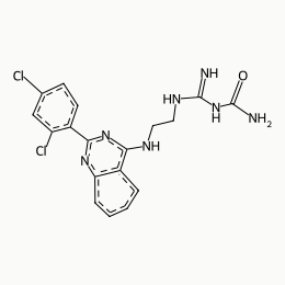 N=C(NCCNc1nc(-c2ccc(Cl)cc2Cl)nc2ccccc12)NC(N)=O